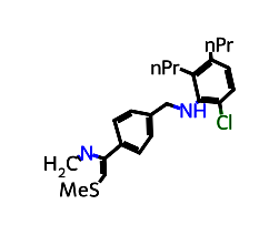 C=N/C(=C\SC)c1ccc(CNc2c(Cl)ccc(CCC)c2CCC)cc1